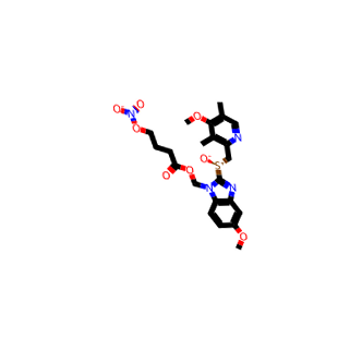 COc1ccc2c(c1)nc([S@@+]([O-])Cc1ncc(C)c(OC)c1C)n2COC(=O)CCCO[N+](=O)[O-]